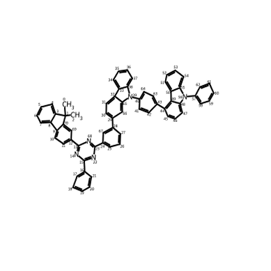 CC1(C)c2ccccc2-c2ccc(-c3nc(-c4ccccc4)nc(-c4cccc(-c5ccc6c7ccccc7n(-c7ccc(-c8cccc9c8c8ccccc8n9-c8ccccc8)cc7)c6c5)c4)n3)cc21